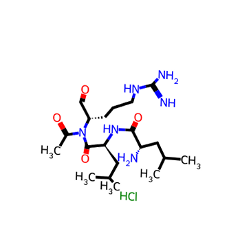 CC(=O)N(C(=O)[C@H](CC(C)C)NC(=O)[C@@H](N)CC(C)C)[C@H](C=O)CCCNC(=N)N.Cl